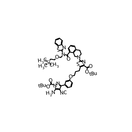 [C-]#[N+]c1c(-c2cccc(OCCCc3sc(N4CCc5cccc(C(=O)N(COCC[Si](C)(C)C)c6nc7ccccc7s6)c5C4)nc3C(=O)OC(C)(C)C)c2)nn(C(=O)OC(C)(C)C)c1N